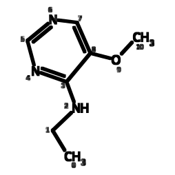 CCNc1ncncc1OC